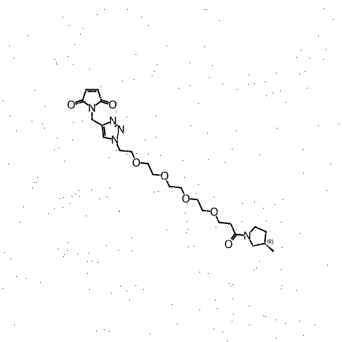 C[C@@H]1CCN(C(=O)CCOCCOCCOCCOCCn2cc(CN3C(=O)C=CC3=O)nn2)C1